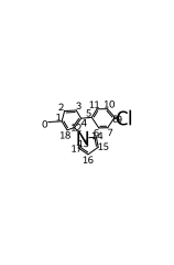 Cc1ccc(-c2ccc(Cl)cc2)c(-n2cccc2)c1